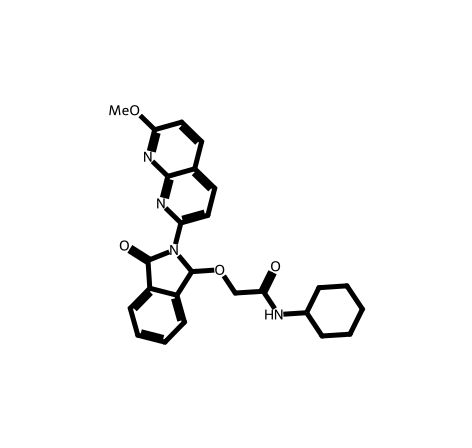 COc1ccc2ccc(N3C(=O)c4ccccc4C3OCC(=O)NC3CCCCC3)nc2n1